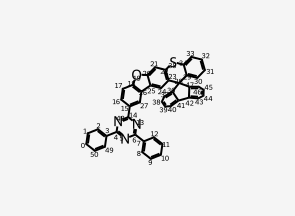 c1ccc(-c2nc(-c3ccccc3)nc(-c3ccc4oc5cc6c(cc5c4c3)C3(c4ccccc4S6)c4ccccc4-c4ccccc43)n2)cc1